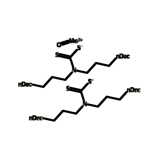 CCCCCCCCCCCCCN(CCCCCCCCCCCCC)C(=S)[S-].CCCCCCCCCCCCCN(CCCCCCCCCCCCC)C(=S)[S-].[O]=[Mo+2]